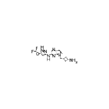 N[C@H]1C[C@@H](Cn2ncc3ncc(Nc4cc(OC(F)F)[nH]n4)nc32)C1